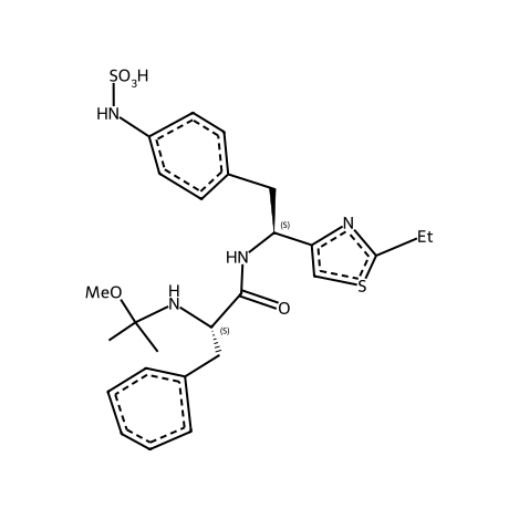 CCc1nc([C@H](Cc2ccc(NS(=O)(=O)O)cc2)NC(=O)[C@H](Cc2ccccc2)NC(C)(C)OC)cs1